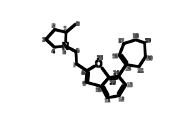 CC1CCCN1CCc1cc2cccc(C3=CCCCCC3)c2o1